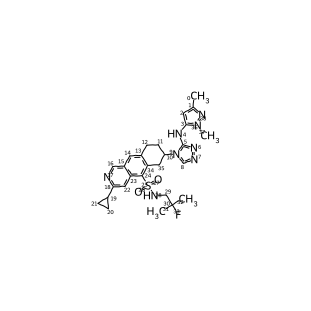 Cc1cc(Nc2nncn2C2CCc3cc4cnc(C5CC5)cc4c(S(=O)(=O)NCC(C)(C)F)c3C2)n(C)n1